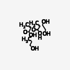 C=CC(=O)O.C=CC(=O)O.CCCO.OCCO